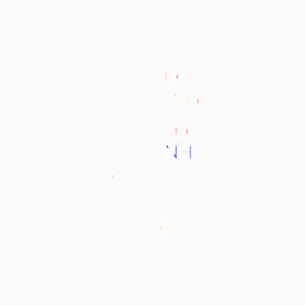 COC(=O)CC(=O)CC(N)(c1ccc(OC)cc1)c1ccsc1